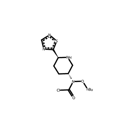 CCCCON(C(=O)Cl)[C@@H]1CC[C@@H](c2ncns2)NC1